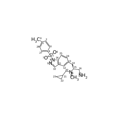 Cc1ccc(S(=O)(=O)n2ncc3cc(C[C@@H](CN)N(C)CC4CC4)ccc32)cc1